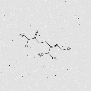 CC(C)C(=O)CC/C(=N/CO)C(C)C